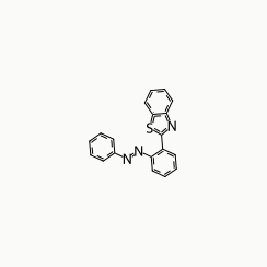 c1ccc(N=Nc2ccccc2-c2nc3ccccc3s2)cc1